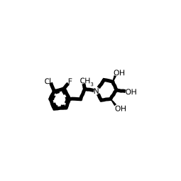 CC(Cc1cccc(Cl)c1F)N1C[C@@H](O)C(O)[C@@H](O)C1